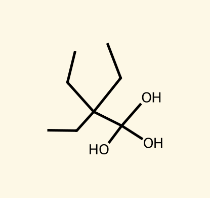 CCC(CC)(CC)C(O)(O)O